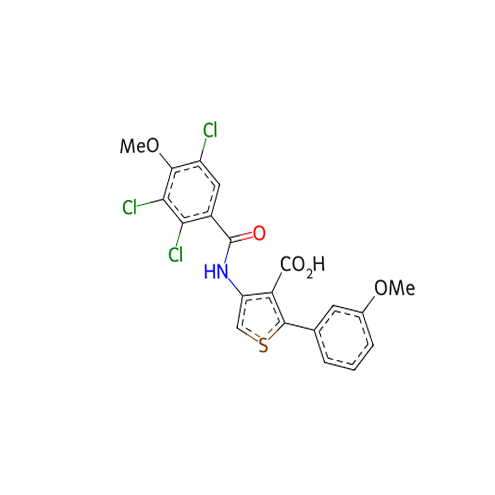 COc1cccc(-c2scc(NC(=O)c3cc(Cl)c(OC)c(Cl)c3Cl)c2C(=O)O)c1